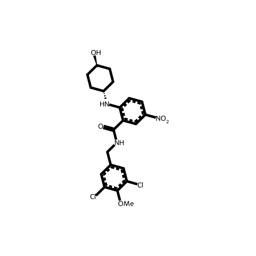 COc1c(Cl)cc(CNC(=O)c2cc([N+](=O)[O-])ccc2N[C@H]2CC[C@H](O)CC2)cc1Cl